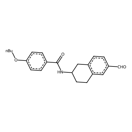 CCCCOc1ccc(C(=O)NC2CCc3cc(C=O)ccc3C2)cc1